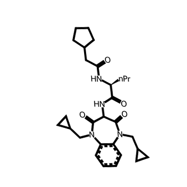 CCC[C@H](NC(=O)CC1CCCC1)C(=O)NC1C(=O)N(CC2CC2)c2ccccc2N(CC2CC2)C1=O